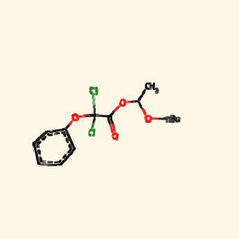 CCCCOC(C)OC(=O)C(Cl)(Cl)Oc1ccccc1